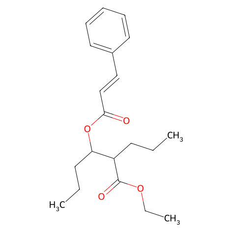 CCCC(OC(=O)C=Cc1ccccc1)C(CCC)C(=O)OCC